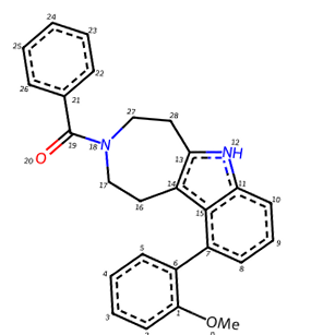 COc1ccccc1-c1cccc2[nH]c3c(c12)CCN(C(=O)c1ccccc1)CC3